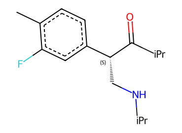 Cc1ccc([C@@H](CNC(C)C)C(=O)C(C)C)cc1F